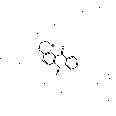 O=Cc1ccc2c(c1C(=O)c1ccncc1)NCCO2